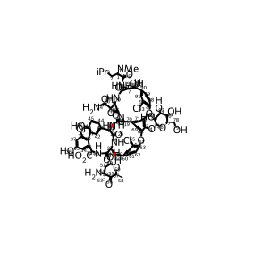 CN[C@H](CC(C)C)C(=O)N[C@H]1C(=O)N[C@@H](CC(N)=O)C(=O)N[C@H]2C(=O)N[C@H]3C(=O)N[C@H](C(=O)N[C@H](C(=O)O)c4cc(O)cc(O)c4-c4cc3ccc4O)[C@H](O[C@H]3C[C@](C)(N)C(=O)[C@H](C)O3)c3ccc(c(Cl)c3)Oc3cc2cc(c3O[C@@H]2O[C@H](CO)[C@@H](O)[C@H](O)[C@H]2O)Oc2ccc(cc2Cl)[C@H]1O